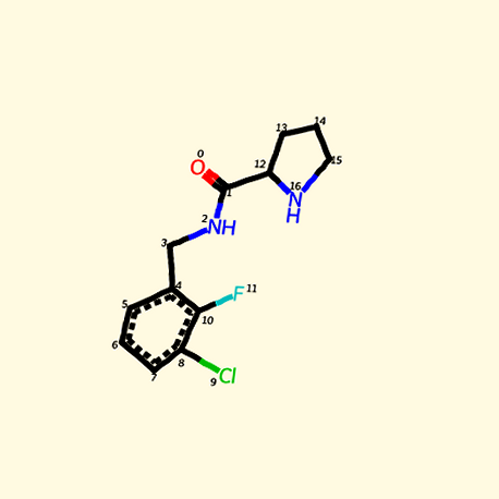 O=C(NCc1cccc(Cl)c1F)C1CCCN1